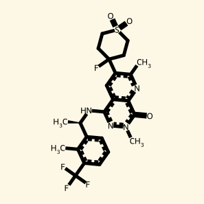 Cc1nc2c(=O)n(C)nc(N[C@H](C)c3cccc(C(F)(F)F)c3C)c2cc1C1(F)CCS(=O)(=O)CC1